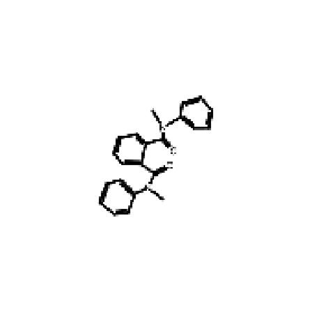 CN(C(=O)c1ccccc1C(=O)N(C)c1ccccc1)c1ccccc1